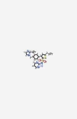 CC(C)Cc1cc(-c2ccc(Cn3ccnc3C(C)C)cc2)c(S(=O)(=O)Nc2ncccn2)s1